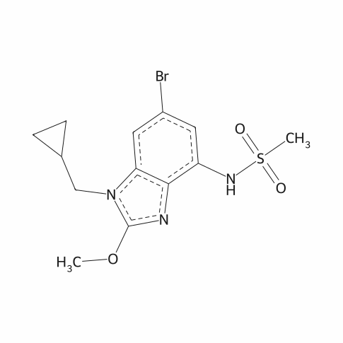 COc1nc2c(NS(C)(=O)=O)cc(Br)cc2n1CC1CC1